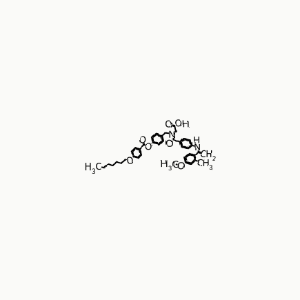 C=C(Nc1ccc(C(=O)N(CC(=O)O)Cc2ccc(OC(=O)c3ccc(OCCCCCCC)cc3)cc2)cc1)c1ccc(OC)cc1C